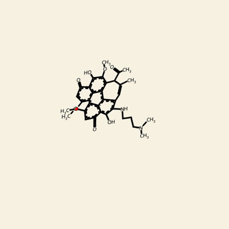 COc1c(O)c2c(=O)cc(OC)c3c4c(OC)cc(=O)c5c(O)c(NCCCN(C)C)c6c(c(c1C(C(C)=O)C(C)=C6)c23)c54